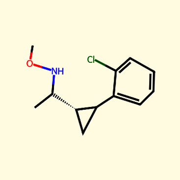 CONC(C)[C@H]1CC1c1ccccc1Cl